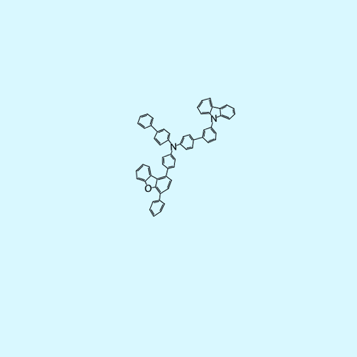 c1ccc(-c2ccc(N(c3ccc(-c4cccc(-n5c6ccccc6c6ccccc65)c4)cc3)c3ccc(-c4ccc(-c5ccccc5)c5oc6ccccc6c45)cc3)cc2)cc1